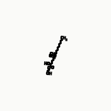 C=C.CCCCCCCCCCCCCCCCC(O)C(=O)OCCO